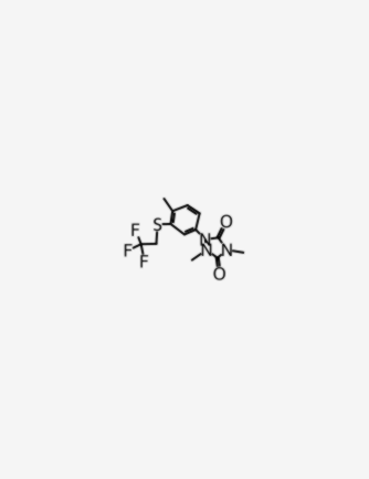 Cc1ccc(-n2c(=O)n(C)c(=O)n2C)cc1SCC(F)(F)F